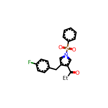 CCC(=O)c1cn(S(=O)(=O)c2ccccc2)cc1Cc1ccc(F)cc1